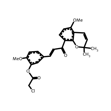 COc1ccc(C=CC(=O)c2ccc(OC)c3c2OC(C)(C)C=C3)cc1OC(=O)CCl